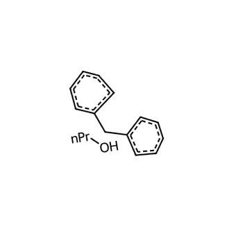 C[CH]CO.c1ccc(Cc2ccccc2)cc1